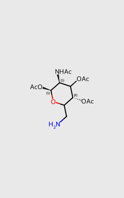 CC(=O)N[C@H]1C(OC(C)=O)[C@H](OC(C)=O)C(CN)O[C@H]1OC(C)=O